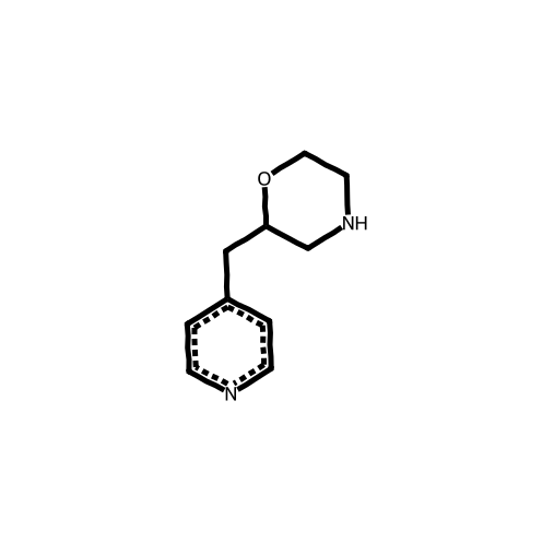 c1cc(CC2CNCCO2)ccn1